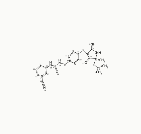 CC(C)CC1(C)NC(=N)N(Cc2ccc(CNC(=O)Nc3cccc(C#N)c3)cc2)C1=O